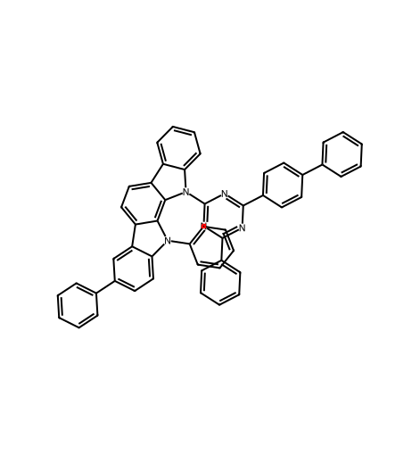 c1ccc(-c2ccc(-c3nc(-c4ccccc4)nc(-n4c5ccccc5c5ccc6c7cc(-c8ccccc8)ccc7n(-c7ccccc7)c6c54)n3)cc2)cc1